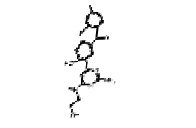 Cc1ccc(C(=O)c2ccc(O)c(-c3cc(N(C)CCO)nc(N)n3)c2)c(F)c1